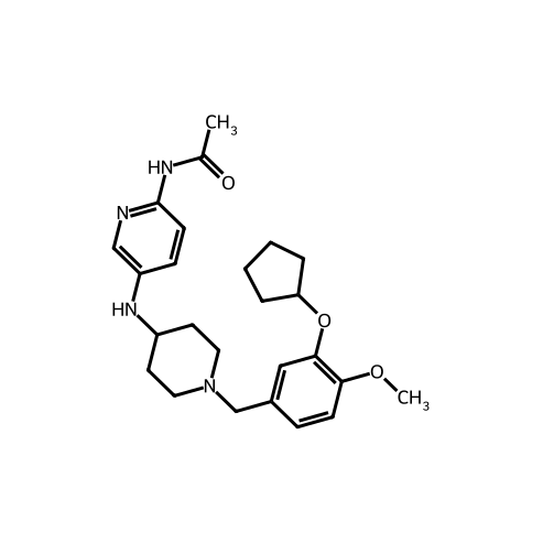 COc1ccc(CN2CCC(Nc3ccc(NC(C)=O)nc3)CC2)cc1OC1CCCC1